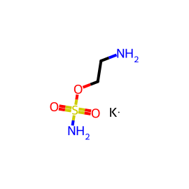 NCCOS(N)(=O)=O.[K]